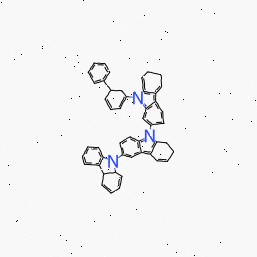 C1=CC(c2ccccc2)CC(n2c3c(c4ccc(-n5c6c(c7cc(N8c9ccccc9C9C=CC=CC98)ccc75)C=CCC6)cc42)=CCCC=3)=C1